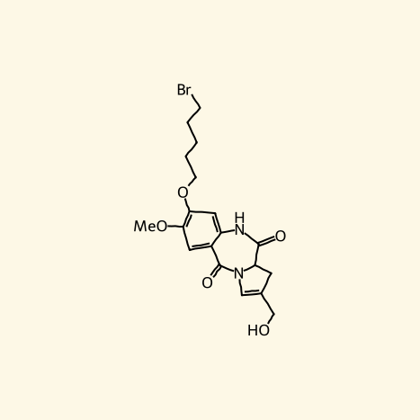 COc1cc2c(cc1OCCCCCBr)NC(=O)C1CC(CO)=CN1C2=O